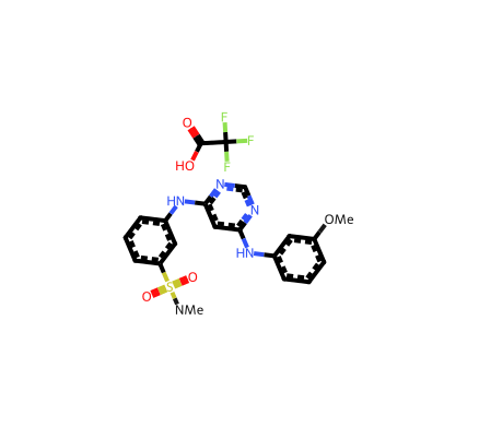 CNS(=O)(=O)c1cccc(Nc2cc(Nc3cccc(OC)c3)ncn2)c1.O=C(O)C(F)(F)F